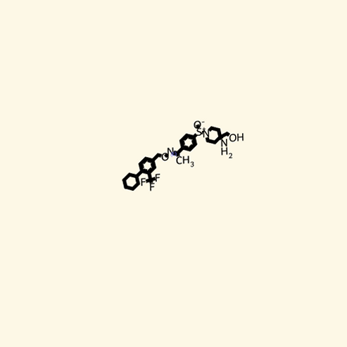 C/C(=N\OCc1ccc(C2CCCCC2)c(C(F)(F)F)c1)c1ccc([S+]([O-])N2CCC(N)(CO)CC2)cc1